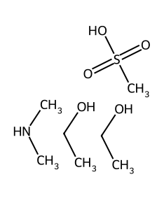 CCO.CCO.CNC.CS(=O)(=O)O